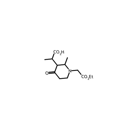 CCOC(=O)CN1CCC(=O)C(C(C)C(=O)O)C1C